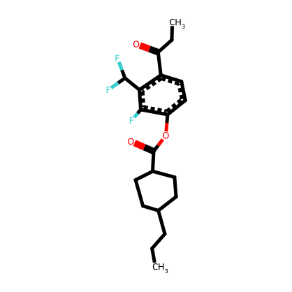 CCCC1CCC(C(=O)Oc2ccc(C(=O)CC)c(C(F)F)c2F)CC1